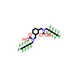 O=C(O)N(CC1CCCC(CN(CC(F)(F)C(F)(F)C(F)(F)C(F)(F)F)C(=O)O)C1)CC(F)(F)C(F)(F)C(F)(F)C(F)(F)F